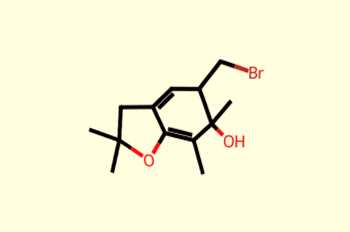 CC1=C2OC(C)(C)CC2=CC(CBr)C1(C)O